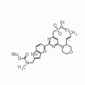 C/C=C/C1COCCN1c1cc(CS(=O)(=O)N(CC)CC)nc(-c2ccc3[nH]c(CN(C)C(=O)OC(C)(C)C)cc3n2)n1